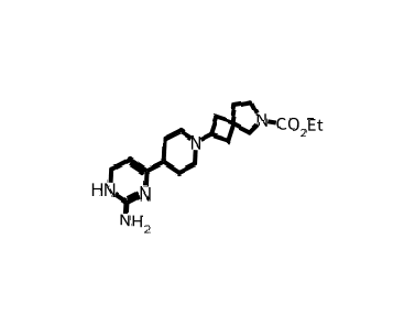 CCOC(=O)N1CCC2(CC(N3CCC(C4=CCNC(N)=N4)CC3)C2)C1